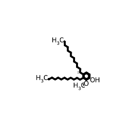 CCCCCCCCCCCC[C]c1ccc(O)c(OC)c1CCCCCCCCCCCC